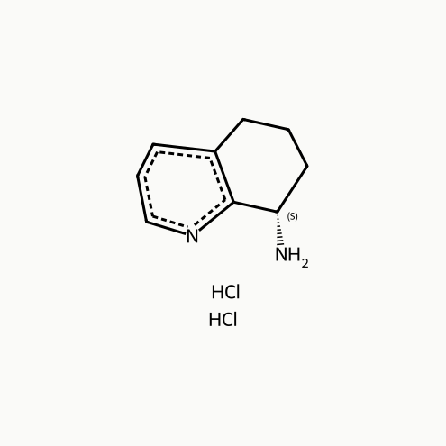 Cl.Cl.N[C@H]1CCCc2cccnc21